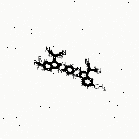 Cc1ccc2c(c1)C(=C(C#N)C#N)c1nc3cc4nc5c(nc4cc3nc1-2)-c1ccc(C(F)(F)F)cc1C5=C(C#N)C#N